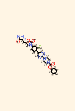 NC(=O)CCC1CN(c2ccc(-c3cnc(N4CCN(C(=O)Oc5ccccc5)CC4)nc3)c(F)c2)C(=O)O1